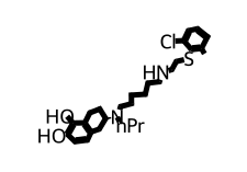 CCCN(CCCCCCNCCSc1c(C)cccc1Cl)[C@H]1CCc2c(ccc(O)c2O)C1